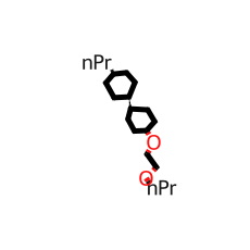 CCCOCCOC1CCC([C@H]2CC[C@H](CCC)CC2)CC1